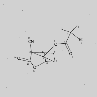 CCC(C)(C)C(=O)OC1C2CC3C2OC(=O)C31C#N